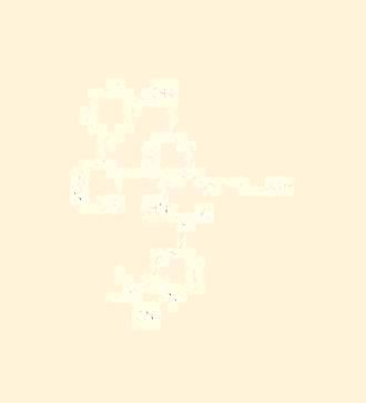 Cc1cc(OCCO)c(NC(=O)c2ccnc(C(C)(C)C#N)c2)c(-c2ccncc2C2CCOC(O)C2)c1